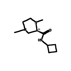 CN1CCN(C)[C@@H](C(=O)NC2CCC2)C1